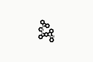 c1cc(-n2c3ccccc3c3ccccc32)nc(-n2c3ccccc3c3cc4c(cc32)c2ccccc2c2nc3ccccc3n42)c1